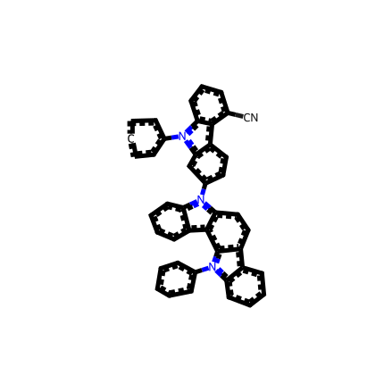 N#Cc1cccc2c1c1ccc(-n3c4ccccc4c4c3ccc3c5ccccc5n(-c5ccccc5)c34)cc1n2-c1ccccc1